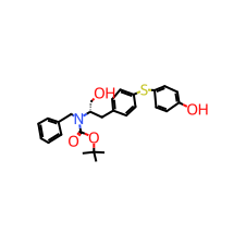 CC(C)(C)OC(=O)N(Cc1ccccc1)[C@H](CO)Cc1ccc(Sc2ccc(O)cc2)cc1